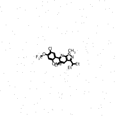 CCC(CC)c1nn(C)c2nc(-c3cc(Cl)c(OC(F)(F)F)cc3OC)c(Cl)cc12